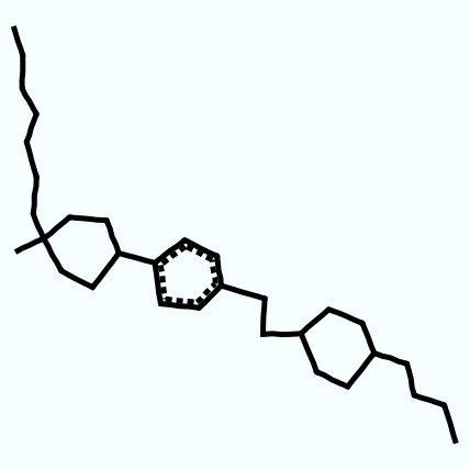 CCCCCCCC1(C)CCC(c2ccc(CCC3CCC(CCCC)CC3)cc2)CC1